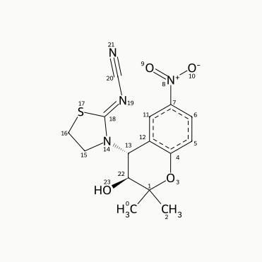 CC1(C)Oc2ccc([N+](=O)[O-])cc2[C@@H](N2CCSC2=NC#N)[C@@H]1O